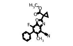 COC(=O)C1(c2nc3c(C#N)c(C)c(-c4ccccc4)c(F)c3o2)CC1